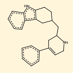 C1=C(c2ccccc2)CC(CC2CCc3[nH]c4ccccc4c3C2)NC1